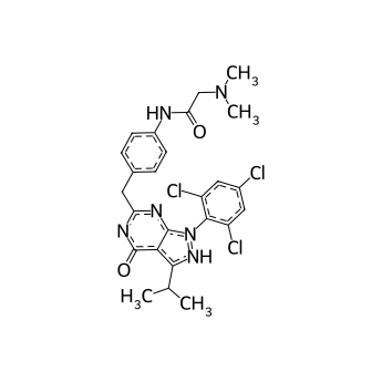 CC(C)c1[nH]n(-c2c(Cl)cc(Cl)cc2Cl)c2nc(Cc3ccc(NC(=O)CN(C)C)cc3)nc(=O)c1-2